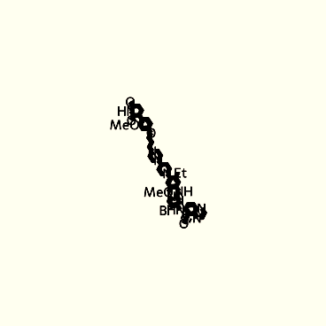 CCc1cc(Nc2ncc(Br)c(Nc3ccc4nccnc4c3P(C)(C)=O)n2)c(OC)cc1N1CCC(N2CCN(CCCOc3ccc(C4CCC(=O)NC4=O)c(OC)c3)CC2)CC1